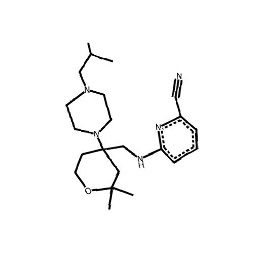 CC(C)CN1CCN(C2(CNc3cccc(C#N)n3)CCOC(C)(C)C2)CC1